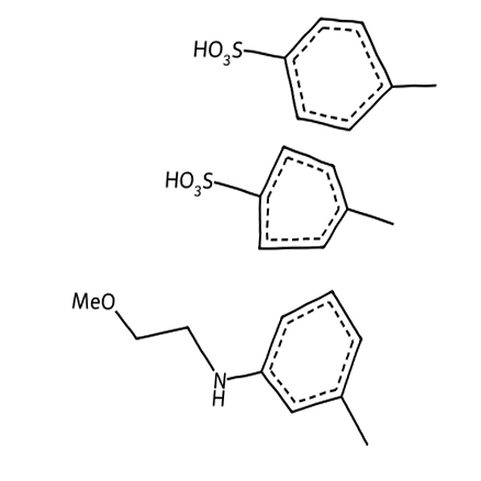 COCCNc1cccc(C)c1.Cc1ccc(S(=O)(=O)O)cc1.Cc1ccc(S(=O)(=O)O)cc1